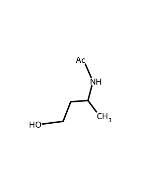 CC(=O)NC(C)CCO